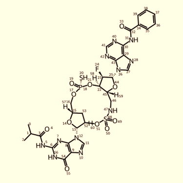 CC(C)C(=O)Nc1nc2c(ncn2[C@@H]2O[C@@H]3CO[P@](=O)(S)O[C@H]4[C@@H](F)[C@H](n5cnc6c(NC(=O)c7ccccc7)ncnc65)O[C@@H]4CNS(=O)(=O)O[C@@H]2C3)c(=O)[nH]1